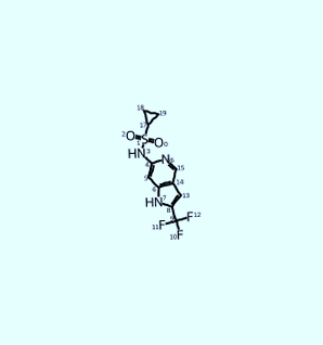 O=S(=O)(Nc1cc2[nH]c(C(F)(F)F)cc2cn1)C1CC1